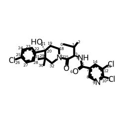 CC(C)[C@@H](NC(=O)c1cnc(Cl)c(Cl)c1)C(=O)N1CC[C@](O)(c2ccc(Cl)cc2)C(C)(C)C1